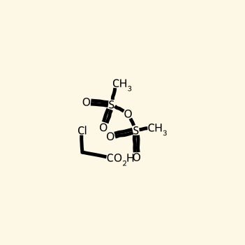 CS(=O)(=O)OS(C)(=O)=O.O=C(O)CCl